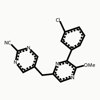 COc1ncc(Cc2cnc(C#N)nc2)nc1-c1cccc(Cl)c1